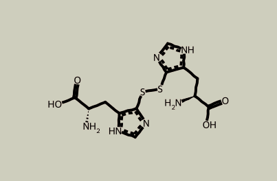 N[C@@H](Cc1[nH]cnc1SSc1nc[nH]c1C[C@H](N)C(=O)O)C(=O)O